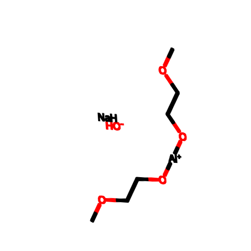 COCC[O][Al+][O]CCOC.[NaH].[OH-]